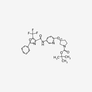 CC(C)(C)OC(=O)N1CC[C@H](Oc2ccc(NC(=O)c3nc(-c4ccccc4)oc3C(F)(F)F)cn2)C1